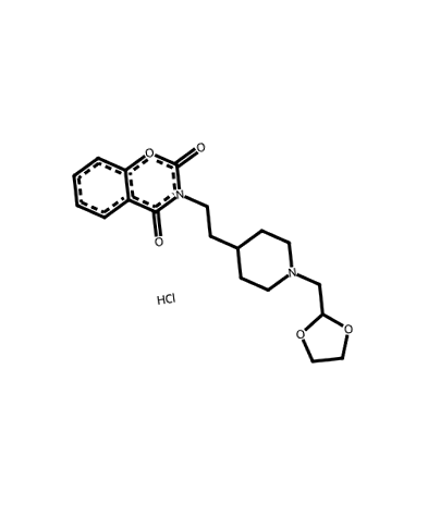 Cl.O=c1oc2ccccc2c(=O)n1CCC1CCN(CC2OCCO2)CC1